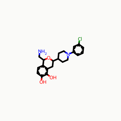 NCC1OC(C2CCN(c3cccc(Cl)c3)CC2)Cc2c1ccc(O)c2O